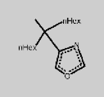 CCCCCCC(C)(CCCCCC)c1cocn1